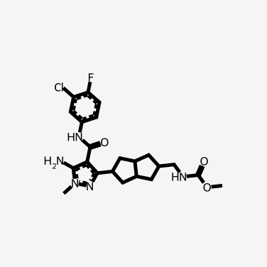 COC(=O)NCC1CC2CC(c3nn(C)c(N)c3C(=O)Nc3ccc(F)c(Cl)c3)CC2C1